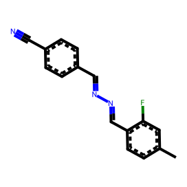 Cc1ccc(/C=N/N=C/c2ccc(C#N)cc2)c(F)c1